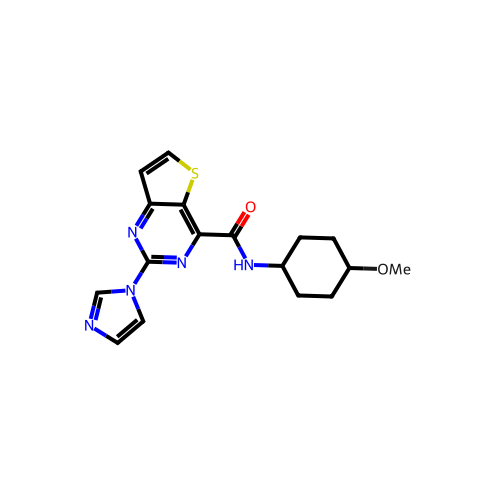 COC1CCC(NC(=O)c2nc(-n3ccnc3)nc3ccsc23)CC1